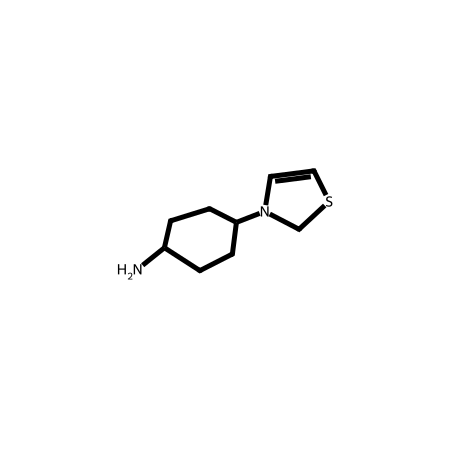 NC1CCC(N2C=CSC2)CC1